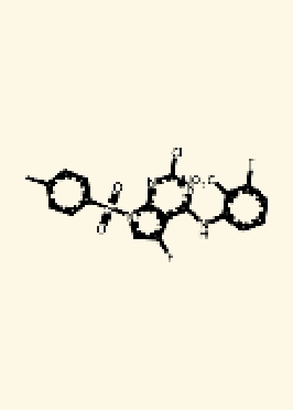 Cc1ccc(S(=O)(=O)n2cc(F)c3c(Nc4cccc(F)c4C(=O)O)nc(Cl)nc32)cc1